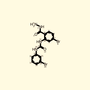 NNC(=O)c1ccc(Br)cc1NC(=O)Nc1cccc(Br)c1